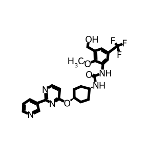 COc1c(CO)cc(C(F)(F)F)cc1NC(=O)N[C@H]1CC[C@H](Oc2ccnc(-c3cccnc3)n2)CC1